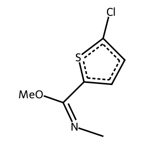 C/N=C(/OC)c1ccc(Cl)s1